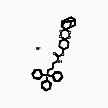 O=C(NCCC[P+](c1ccccc1)(c1ccccc1)c1ccccc1)OC1CCC2(CC1)OOC1(OO2)C2CC3CC(C2)CC1C3.[Br-]